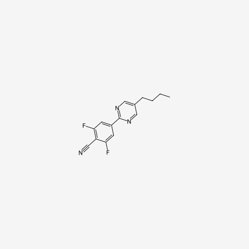 CCCCc1cnc(-c2cc(F)c(C#N)c(F)c2)nc1